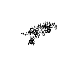 CC1=NO[C@@]2(CC[C@H](C)N3C[C@H]2n2cc(C(=O)NCc4ccc(F)cc4F)c(=O)c(OCOC(=O)OCc4ccccc4OP(=O)(OC(C)(C)C)OC(C)(C)C)c2C3=O)C1